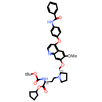 COc1cc2c(Oc3ccc(NC(=O)c4ccccc4)cc3)ccnc2cc1OC[C@@H]1CCCN1CC[C@H](NC(=O)OC(C)(C)C)C(=O)OC1CCCC1